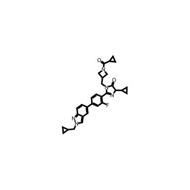 O=C(C1CC1)N1CC(CN2C(=O)C(C3CC3)N=C2c2ccc(-c3ccc4nn(CC5CC5)cc4c3)cc2F)C1